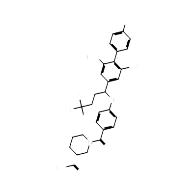 Cc1cc(C(CCC(F)(F)F)Nc2ccc(C(=O)N3CCC[C@@H](C(=O)O)C3)cc2)cc(C)c1-c1ccc(Cl)cc1